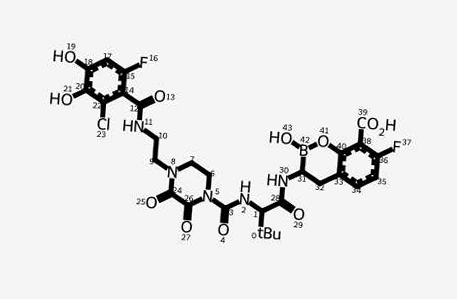 CC(C)(C)C(NC(=O)N1CCN(CCNC(=O)c2c(F)cc(O)c(O)c2Cl)C(=O)C1=O)C(=O)NC1Cc2ccc(F)c(C(=O)O)c2OB1O